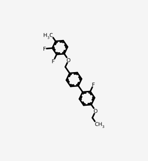 CCOc1ccc(-c2ccc(COc3ccc(C)c(F)c3F)cc2)c(F)c1